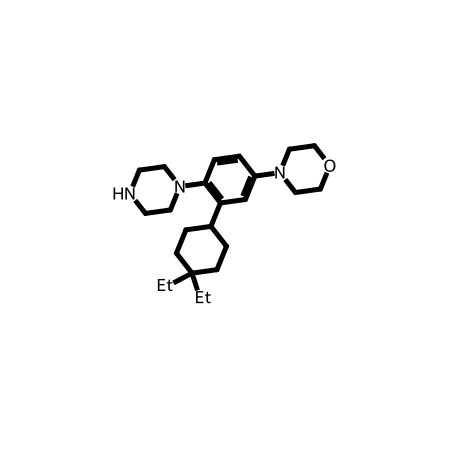 CCC1(CC)CCC(c2cc(N3CCOCC3)ccc2N2CCNCC2)CC1